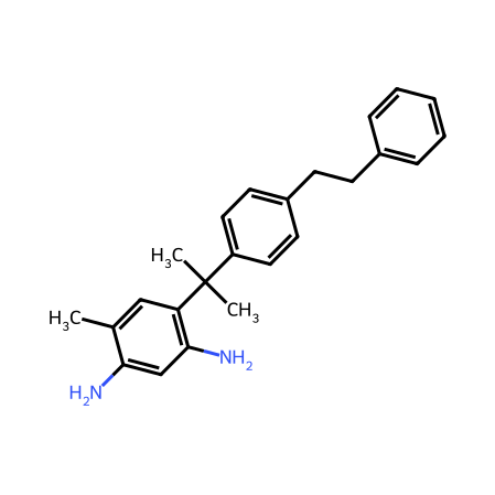 Cc1cc(C(C)(C)c2ccc(CCc3ccccc3)cc2)c(N)cc1N